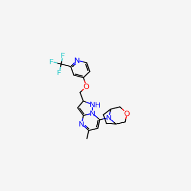 CC1=NC2=CC(COc3ccnc(C(F)(F)F)c3)NN2C(N2C3CCC2COC3)=C1